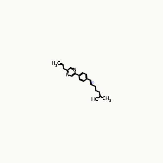 C=CCc1cnc(-c2ccc(/C=C/CCCC(C)O)cc2)cn1